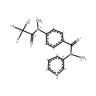 CN(C(=O)c1ccc(N(C)C(=O)C(F)(F)Cl)cc1)c1cccnc1